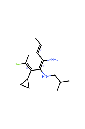 C/C=C/C(N)=C(NCC(C)C)\C(=C(/C)F)C1CC1